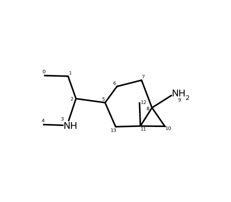 CCC(NC)C1CCC2(N)CC2(C)C1